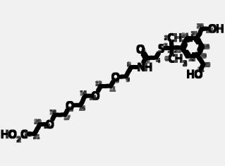 CC(C)(SCC(=O)NCCOCCOCCOCCOCCC(=O)O)c1cc(CO)cc(CO)c1